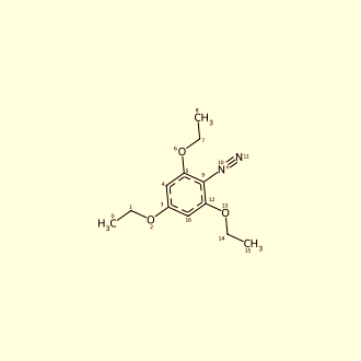 CCOc1cc(OCC)c([N+]#N)c(OCC)c1